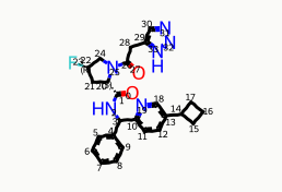 O=C(NC(c1ccccc1)c1ccc(C2CCC2)cn1)[C@@H]1C[C@@H](F)CN1C(=O)Cc1cnn[nH]1